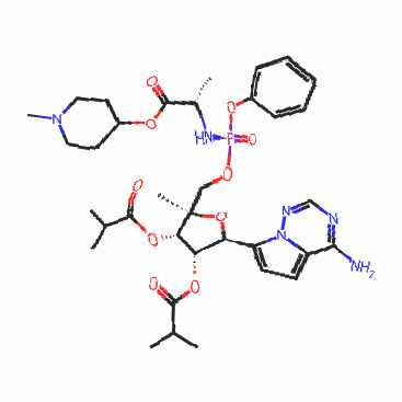 CC(C)C(=O)O[C@H]1[C@H](c2ccc3c(N)ncnn23)O[C@](C)(CO[P@](=O)(N[C@@H](C)C(=O)OC2CCN(C)CC2)Oc2ccccc2)[C@H]1OC(=O)C(C)C